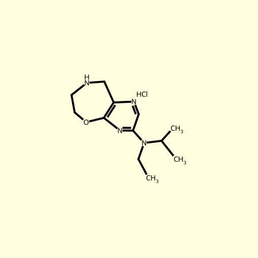 CCN(c1cnc2c(n1)OCCNC2)C(C)C.Cl